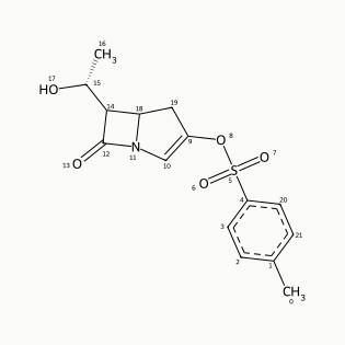 Cc1ccc(S(=O)(=O)OC2=CN3C(=O)C([C@@H](C)O)C3C2)cc1